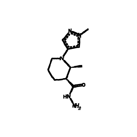 C[C@H]1[C@@H](C(=O)NN)CCCN1c1cnn(C)c1